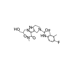 Cc1c(F)ccc(NC(=O)N2CCc3nn4c(c3C2)C(=O)N(C)OC(CO)C4)c1F